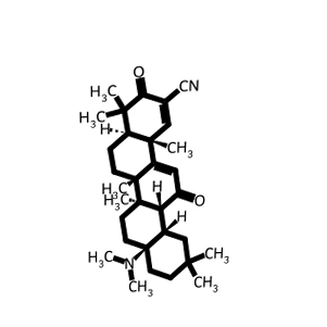 CN(C)[C@]12CCC(C)(C)C[C@H]1[C@H]1C(=O)C=C3[C@@]4(C)C=C(C#N)C(=O)C(C)(C)[C@@H]4CC[C@@]3(C)[C@]1(C)CC2